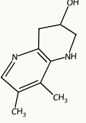 Cc1cnc2c(c1C)NCC(O)C2